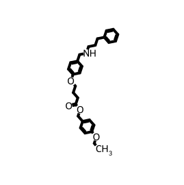 CCOc1ccc(COC(=O)CCCOc2ccc(CNCCCc3ccccc3)cc2)cc1